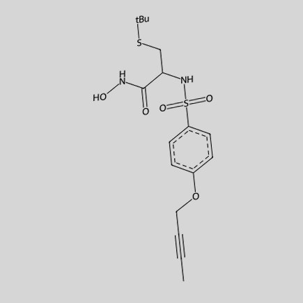 CC#CCOc1ccc(S(=O)(=O)NC(CSC(C)(C)C)C(=O)NO)cc1